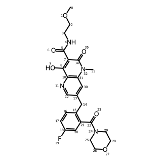 COCCNC(=O)c1c(O)c2ncc(Cc3ccc(F)cc3C(=O)N3CCOCC3)cc2n(C)c1=O